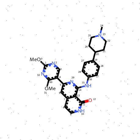 COc1ncc(-c2cc3cc[nH]c(=O)c3c(Nc3ccc(C4CCN(C)CC4)cc3)n2)c(OC)n1